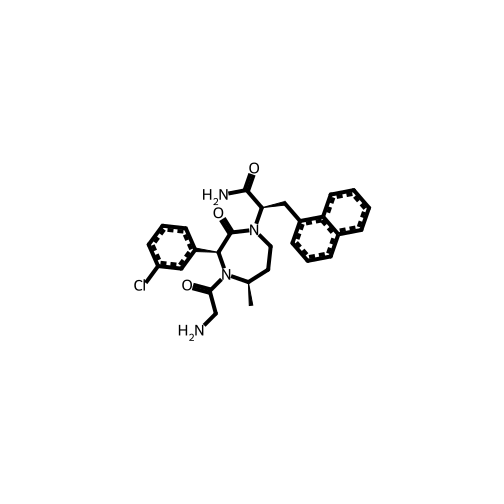 C[C@@H]1CCN([C@H](Cc2cccc3ccccc23)C(N)=O)C(=O)[C@H](c2cccc(Cl)c2)N1C(=O)CN